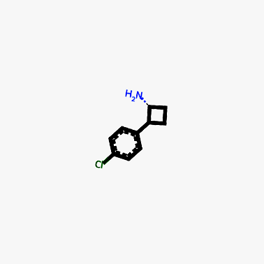 N[C@@H]1CCC1c1ccc(Cl)cc1